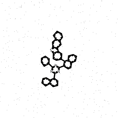 c1ccc(-c2nc(-c3ccc4ccccc4c3-c3ccc4sc5cc6ccccc6cc5c4c3)nc(-c3cccc4ccccc34)n2)cc1